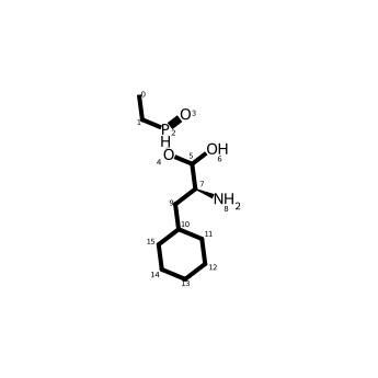 CC[PH](=O)OC(O)[C@@H](N)CC1CCCCC1